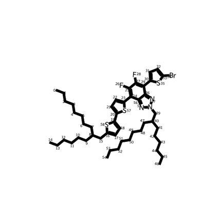 CCCCCCCCC(CCCCCC)Cc1ccc(-c2ccc(-c3c(F)c(F)c(-c4ccc(Br)s4)c4nn(CC(CCCCCC)CCCCCCCC)nc34)s2)s1